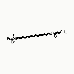 CC=CC(=O)OCCCCCCCCCCCCCCCCC[SiH2]C(Br)Br